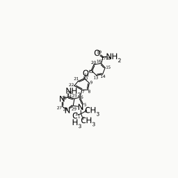 CC(C)(C)n1cc(-c2ccc(Oc3cccc(C(N)=O)c3)cc2)c2c(N)ncnc21